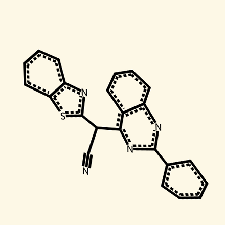 N#CC(c1nc2ccccc2s1)c1nc(-c2ccccc2)nc2ccccc12